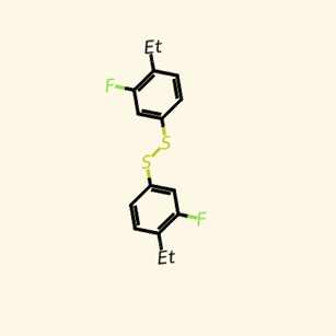 CCc1ccc(SSc2ccc(CC)c(F)c2)cc1F